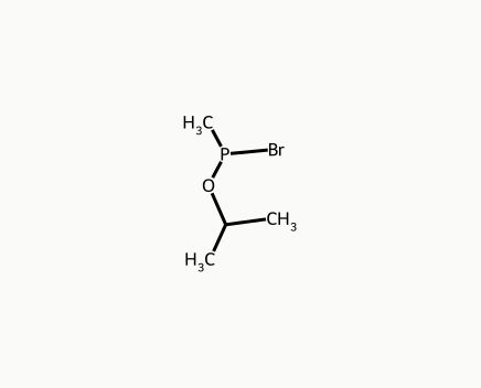 CC(C)OP(C)Br